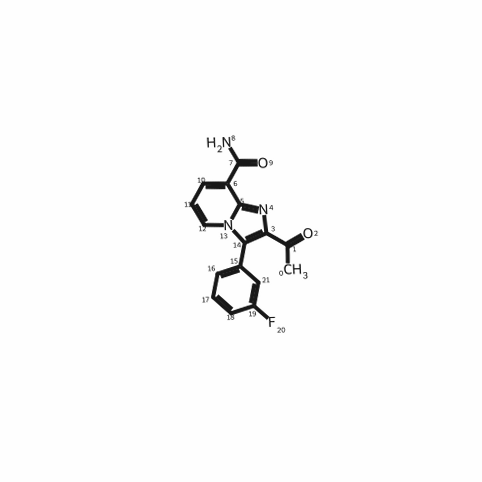 CC(=O)c1nc2c(C(N)=O)cccn2c1-c1cccc(F)c1